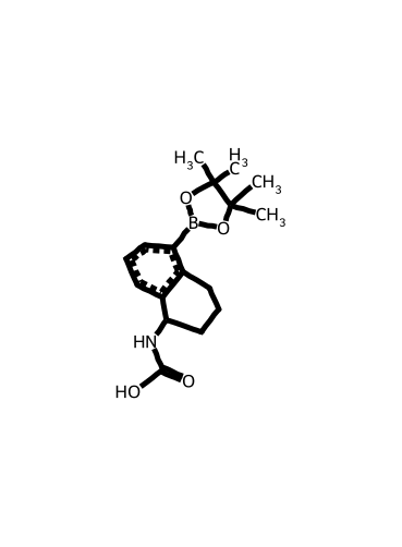 CC1(C)OB(c2cccc3c2CCCC3NC(=O)O)OC1(C)C